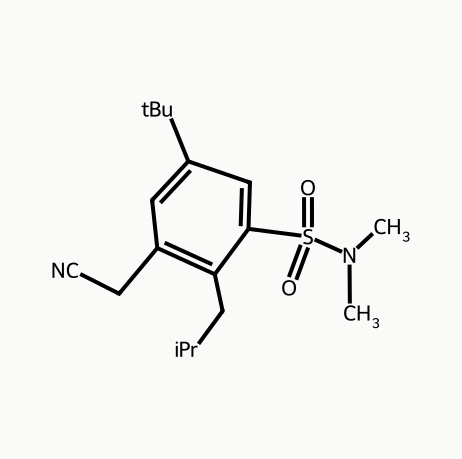 CC(C)Cc1c(CC#N)cc(C(C)(C)C)cc1S(=O)(=O)N(C)C